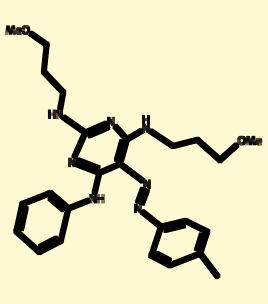 COCCCNc1nc(NCCCOC)c(N=Nc2ccc(C)cc2)c(Nc2ccccc2)n1